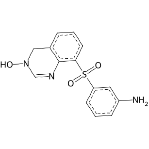 Nc1cccc(S(=O)(=O)c2cccc3c2N=CN(O)C3)c1